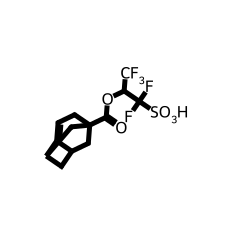 O=C(OC(C(F)(F)F)C(F)(F)S(=O)(=O)O)C12CC=C3C(CC3C1)C2